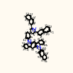 c1cc(-c2cc(-c3ccc4ccccc4c3)nc(-c3ccc4ccccc4c3)c2)cc(-n2c3ccccc3c3cc4c(cc32)c2ccccc2n4-c2ccc3ccccc3c2)c1